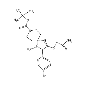 CN1C(c2ccc(Br)cc2)C(SCC(N)=O)=NC12CCN(C(=O)OC(C)(C)C)CC2